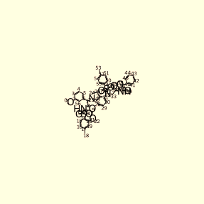 COc1cccc(C(C(=O)NS(=O)(=O)c2ccc(C)cc2OC)N2CCc3c2cccc3N(CC(=O)NS(=O)(=O)c2ccccc2)S(=O)(=O)c2ccc(C)cc2)c1